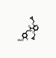 COc1ccc(CNC(=O)c2c(OCC3CC3)ccnc2OCC2CC2)cc1F